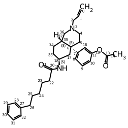 C=CCN1CC[C@@]2(c3cccc(OC(C)=O)c3)C[C@@H](NC(=O)CCCCCc3ccccc3)CC[C@@H]2C1